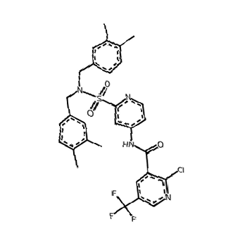 Cc1ccc(CN(Cc2ccc(C)c(C)c2)S(=O)(=O)c2cc(NC(=O)c3cc(C(F)(F)F)cnc3Cl)ccn2)cc1C